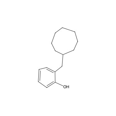 Oc1ccccc1CC1CCCCCCC1